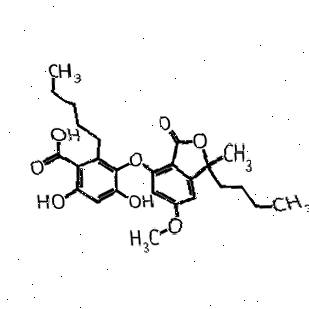 CCCCCc1c(Oc2cc(OC)cc3c2C(=O)OC3(C)CCCC)c(O)cc(O)c1C(=O)O